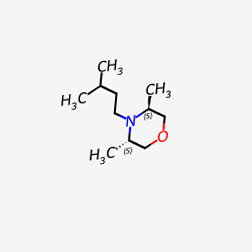 CC(C)CCN1[C@@H](C)COC[C@@H]1C